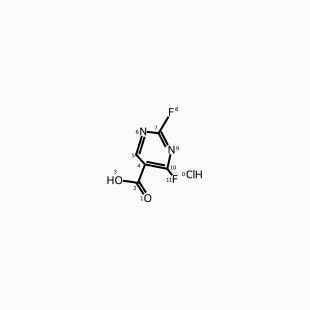 Cl.O=C(O)c1cnc(F)nc1F